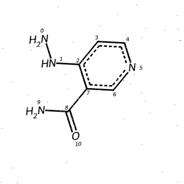 NNc1ccncc1C(N)=O